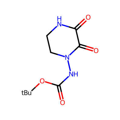 CC(C)(C)OC(=O)NN1CCNC(=O)C1=O